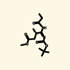 CCC(=O)N/C(=N/C(=O)OC(C)(C)C)N(C)CC(=O)OC